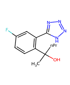 CCCC(C)(O)c1ccc(F)cc1-c1nnn[nH]1